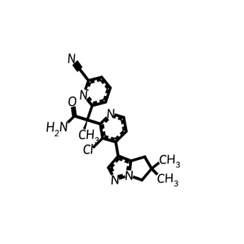 CC1(C)Cc2c(-c3ccnc([C@](C)(C(N)=O)c4cccc(C#N)n4)c3Cl)cnn2C1